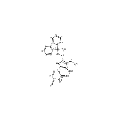 CC(=O)O[C@@H]1[C@H](CC#N)[C@@H](CO[Si](c2ccccc2)(c2ccccc2)C(C)(C)C)O[C@H]1n1ccc(=O)[nH]c1=O